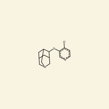 Clc1ccncc1OC1C2CC3CC1CN(C3)C2